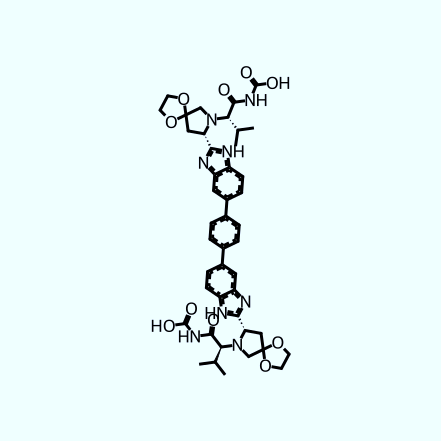 CC(C)[C@@H](C(=O)NC(=O)O)N1CC2(C[C@H]1c1nc3cc(-c4ccc(-c5ccc6[nH]c([C@@H]7CC8(CN7[C@H](C(=O)NC(=O)O)C(C)C)OCCO8)nc6c5)cc4)ccc3[nH]1)OCCO2